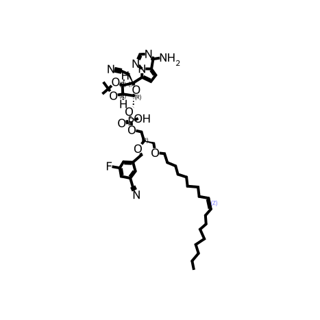 CCCCCCCC/C=C\CCCCCCCCOC[C@H](COP(=O)(O)OC[C@H]1O[C@@](CC#N)(c2ccc3c(N)ncnn23)[C@@H]2OC(C)(C)O[C@@H]21)OCc1cc(F)cc(C#N)c1